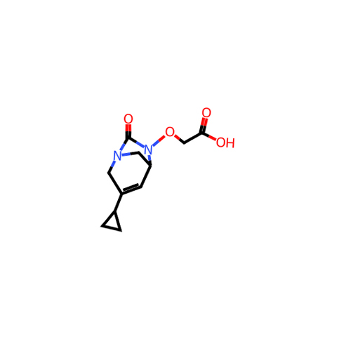 O=C(O)CON1C(=O)N2CC(C3CC3)=CC1C2